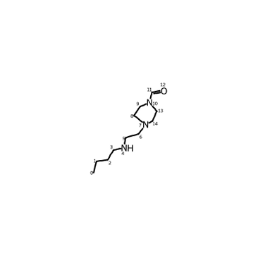 CCCCNCCN1CCN(C=O)CC1